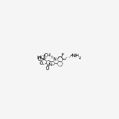 CC[C@@]1(O)C(=O)OCc2c1cc1n(c2=O)Cc2c-1nc1cc(F)c(CCCCN)c3c1c2CCC3